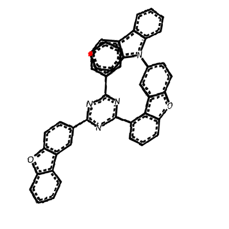 c1ccc(-c2nc(-c3ccc4oc5ccccc5c4c3)nc(-c3cccc4oc5ccc(-n6c7ccccc7c7ccccc76)cc5c34)n2)cc1